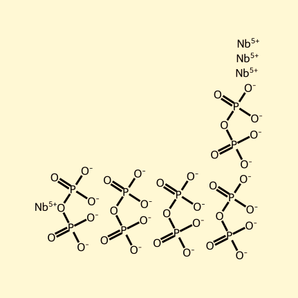 O=P([O-])([O-])OP(=O)([O-])[O-].O=P([O-])([O-])OP(=O)([O-])[O-].O=P([O-])([O-])OP(=O)([O-])[O-].O=P([O-])([O-])OP(=O)([O-])[O-].O=P([O-])([O-])OP(=O)([O-])[O-].[Nb+5].[Nb+5].[Nb+5].[Nb+5]